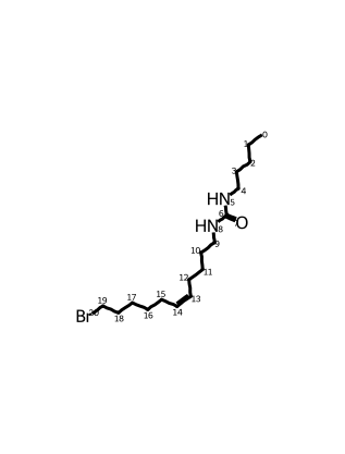 CCCCCNC(=O)NCCCC/C=C\CCCCCBr